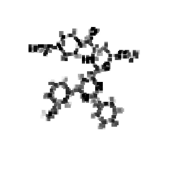 CCOC(=O)N1CCN(C(=O)[C@H](CCC(=O)O)NC(=O)c2cc(-c3cccc(C(F)(F)F)c3)nc(-c3ccccc3)n2)CC1